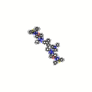 c1ccc(-c2nc(-c3ccc4c5cc(-c6cccc(-c7nc(-c8cccc9oc%10c(-c%11nc(-c%12ccccc%12)c%12sc%13ccccc%13c%12n%11)cccc%10c89)nc(-c8cccc9c8c8ccccc8n9-c8ccccc8)n7)c6)ccc5c5ccccc5c4c3)nc(-c3cccc4oc5c(-c6nc(-c7ccccc7)c7sc8ccccc8c7n6)cccc5c34)n2)cc1